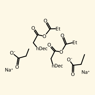 CCC(=O)[O-].CCC(=O)[O-].CCCCCCCCCCCC(=O)OC(=O)CC.CCCCCCCCCCCC(=O)OC(=O)CC.[Na+].[Na+]